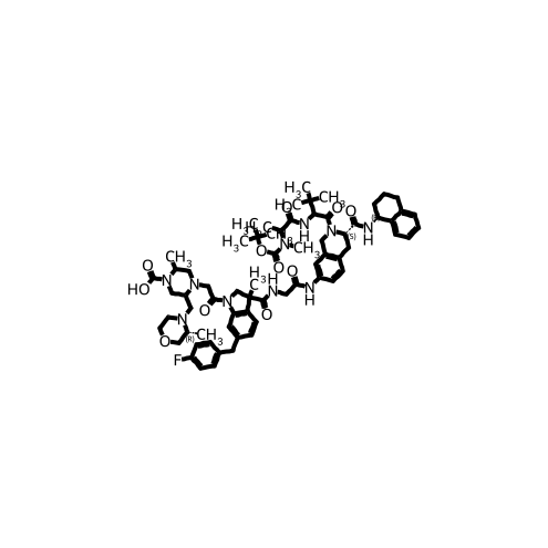 CC(C(=O)NC(C(=O)N1Cc2cc(NC(=O)CNC(=O)C3(C)CN(C(=O)CN4CC(C)N(C(=O)O)CC4CN4CCOC[C@H]4C)c4cc(Cc5ccc(F)cc5)ccc43)ccc2C[C@H]1C(=O)N[C@@H]1CCCc2ccccc21)C(C)(C)C)N(C)C(=O)OC(C)(C)C